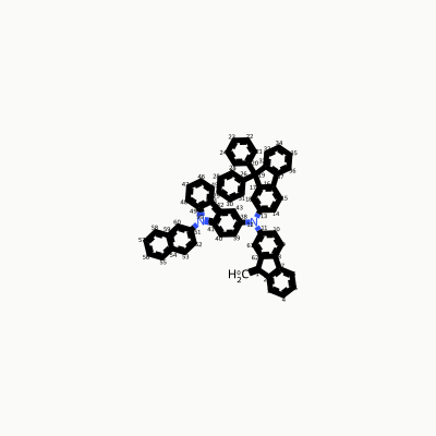 C=C1c2ccccc2-c2ccc(N(c3ccc4c(c3)C(c3ccccc3)(c3ccccc3)c3ccccc3-4)c3ccc4c(c3)c3ccccc3n4-c3ccc4ccccc4c3)cc21